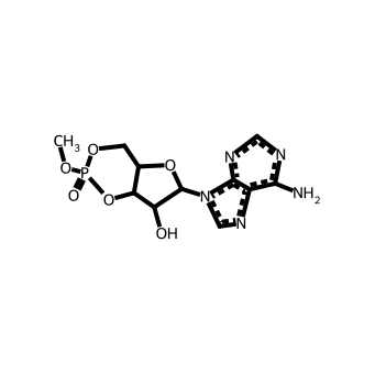 COP1(=O)OCC2OC(n3cnc4c(N)ncnc43)C(O)C2O1